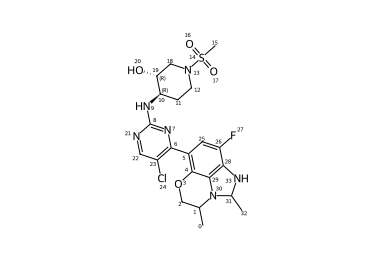 CC1COc2c(-c3nc(N[C@@H]4CCN(S(C)(=O)=O)C[C@H]4O)ncc3Cl)cc(F)c3c2N1C(C)N3